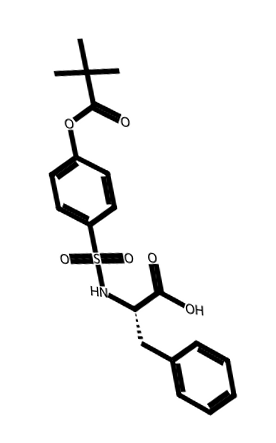 CC(C)(C)C(=O)Oc1ccc(S(=O)(=O)N[C@@H](Cc2ccccc2)C(=O)O)cc1